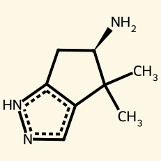 CC1(C)c2cn[nH]c2C[C@H]1N